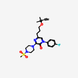 CC(C)(C)[Si](C)(C)OCCCc1cn(-c2ccc(F)cc2)c(=O)c(N2CCN(S(C)(=O)=O)CC2)n1